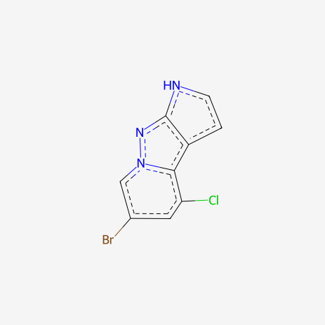 Clc1cc(Br)cn2nc3[nH]ccc3c12